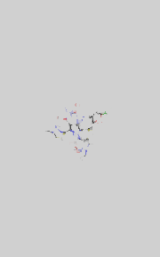 Cc1csc(-c2c3c(=O)n(C)c(=O)n(C)c3c3n2C[C@H](CN2CCOC2=O)S[C@H]3c2ccc(Cl)o2)n1